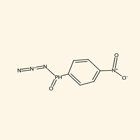 [N-]=[N+]=N[PH](=O)c1ccc([N+](=O)[O-])cc1